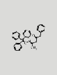 CC(CC(=O)Cc1ccccc1)=NO[Si](c1ccccc1)(c1ccccc1)c1ccccc1